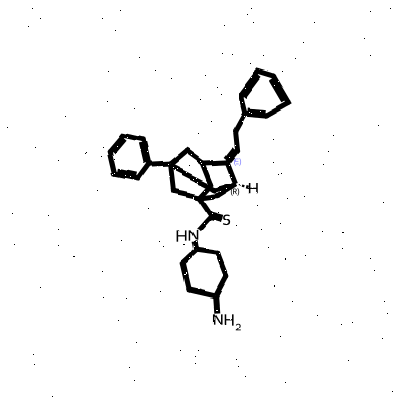 NC1CCC(NC(=S)C23CC4CC(c5ccccc5)(C[C@H](C2)/C4=C/Cc2ccccc2)C3)CC1